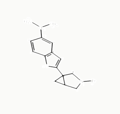 CC(C)N1CC2CC2(c2cc3cc(N(C)C)ccc3s2)C1